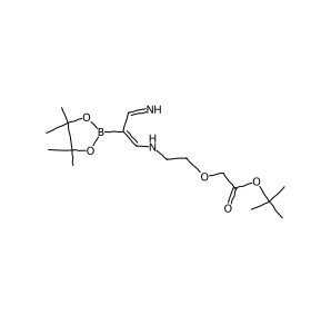 CC(C)(C)OC(=O)COCCN/C=C(\C=N)B1OC(C)(C)C(C)(C)O1